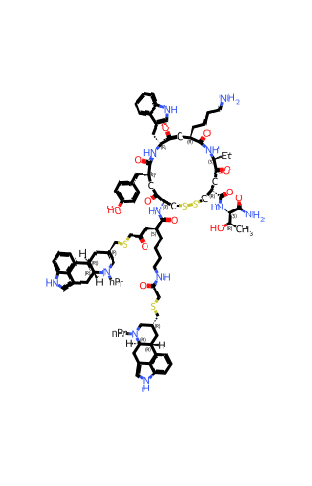 CCCN1C[C@H](CSCC(=O)C[C@H](CCCCNC(=O)CSC[C@@H]2C[C@@H]3c4cccc5[nH]cc(c45)C[C@H]3N(CCC)C2)C(=O)N[C@H]2CSSC[C@@H](C(=O)N[C@H](C(N)=O)[C@@H](C)O)CC(=O)[C@H](CC)NC(=O)[C@H](CCCCN)CC(=O)[C@@H](Cc3c[nH]c4ccccc34)NC(=O)[C@H](Cc3ccc(O)cc3)CC2=O)C[C@@H]2c3cccc4[nH]cc(c34)C[C@H]21